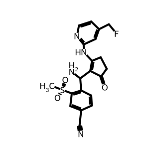 CS(=O)(=O)c1cc(C#N)ccc1C(N)C1=C(Nc2cc(CF)ccn2)CCC1=O